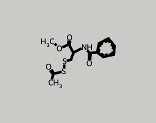 COC(=O)C(CSSC(C)=O)NC(=O)c1ccccc1